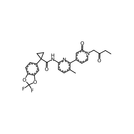 CCC(=O)Cn1ccc(-c2nc(NC(=O)C3(c4ccc5c(c4)OC(F)(F)O5)CC3)ccc2C)cc1=O